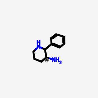 N[C@H]1CCCNC1c1ccccc1